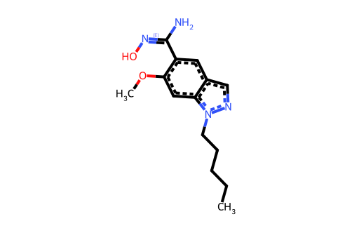 CCCCCn1ncc2cc(/C(N)=N\O)c(OC)cc21